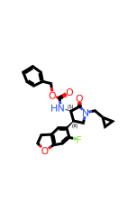 O=C(N[C@@H]1C(=O)N(CC2CC2)C[C@H]1c1cc2c(cc1F)OCC2)OCc1ccccc1